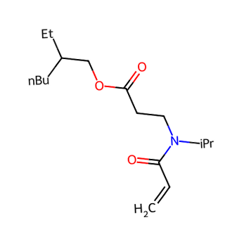 C=CC(=O)N(CCC(=O)OCC(CC)CCCC)C(C)C